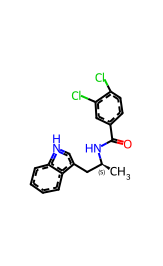 C[C@@H](Cc1c[nH]c2ccccc12)NC(=O)c1ccc(Cl)c(Cl)c1